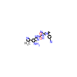 Cc1ccncc1-c1cc(N)c2cnc(NC(=O)C(=O)NC3(C#N)CN(C4(c5ccc(C#N)cc5)CC4)C3)cc2c1